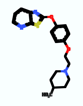 O=C(O)C1CCN(CCOc2ccc(Oc3nc4cccnc4s3)cc2)CC1